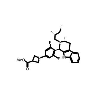 COC(=O)C1CN(c2cc(F)c([C@@H]3c4[nH]c5ccccc5c4C[C@@H](C)N3C[C@H](C)CF)c(F)c2)C1